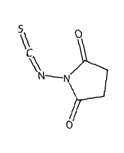 O=C1CCC(=O)N1N=C=S